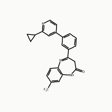 O=C1CC(c2cccc(-c3ccnc(C4CC4)c3)c2)=Nc2ccc(C(F)(F)F)cc2N1